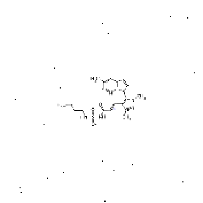 CCCCNS(=O)(=O)NC(=O)/C=C/c1c(C)nn(C)c1-n1ccc2cc(C)cnc21